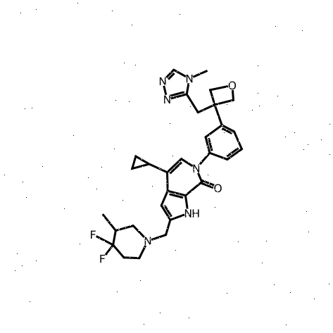 CC1CN(Cc2cc3c(C4CC4)cn(-c4cccc(C5(Cc6nncn6C)COC5)c4)c(=O)c3[nH]2)CCC1(F)F